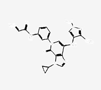 C=CC(=O)Nc1cccc(-n2cc(Nc3cn(C)nc3OC)c3ncn(C4CC4)c3c2=O)c1